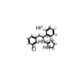 Clc1cccc(CC(NC2=NCCN2)c2ccccc2)c1.I